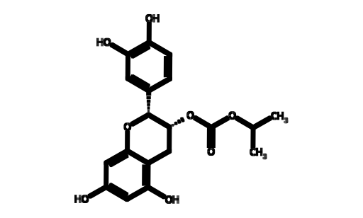 CC(C)OC(=O)O[C@@H]1Cc2c(O)cc(O)cc2O[C@@H]1c1ccc(O)c(O)c1